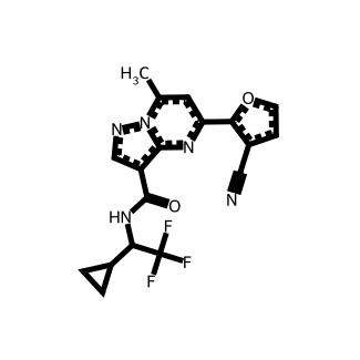 Cc1cc(-c2occc2C#N)nc2c(C(=O)NC(C3CC3)C(F)(F)F)cnn12